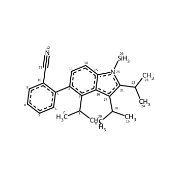 CC(C)c1c(-c2ccccc2C#N)ccc2c1c(C(C)C)c(C(C)C)n2[SiH3]